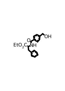 CCOC(=O)[C@H](Cc1ccccc1)NC(=O)c1ccc(CO)cc1